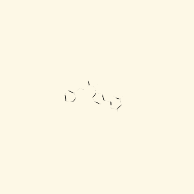 CN(C(=O)OCc1ccccc1)c1cccc(-c2nc(O)cc(O)n2)c1